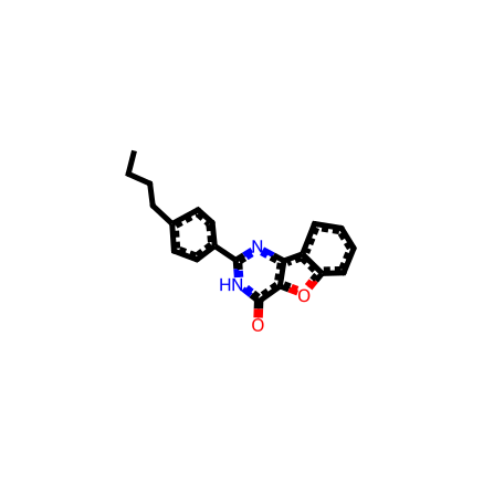 CCCCc1ccc(-c2nc3c(oc4ccccc43)c(=O)[nH]2)cc1